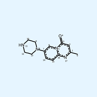 Cc1cc(=O)n2cc(N3CCNCC3)ccc2n1